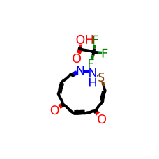 O=C(O)C(F)(F)F.O=C1C=CC=NNSC=CC(=O)C=C1